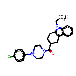 O=C(O)Cn1c2c(c3ccccc31)CC(C(=O)N1CCN(c3ccc(F)cc3)CC1)CC2